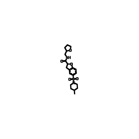 CC1CCN(S(=O)(=O)c2ccc3c(c2)CC(C(=O)NCC2CCCO2)O3)CC1